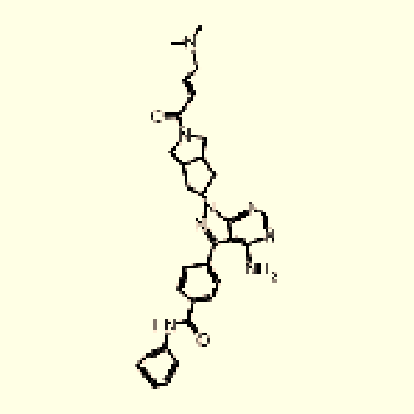 CN(C)C/C=C/C(=O)N1CC2CC(n3nc(-c4ccc(C(=O)Nc5ccccc5)cc4)c4c(N)ncnc43)CC2C1